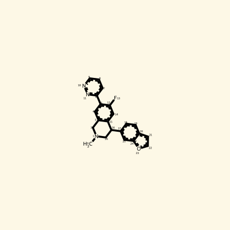 CN1Cc2cc(-c3cccnn3)c(F)cc2C(c2ccc3ccoc3c2)C1